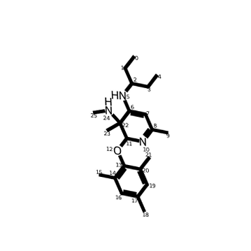 CCC(CC)NC1=CC(C)=NC(Oc2c(C)cc(C)cc2C)C1(C)NC